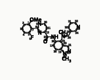 COc1cccc(F)c1-c1nccc(C(=O)Nc2ccc3c(cnn3C)c2N(C)Cc2cccnc2)n1